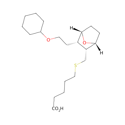 O=C(O)CCCCSC[C@@H]1[C@H](CCOC2CCCCC2)[C@@H]2CC[C@H]1O2